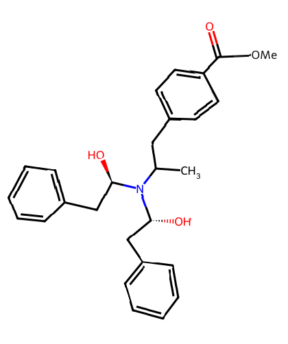 COC(=O)c1ccc(CC(C)N([C@H](O)Cc2ccccc2)[C@H](O)Cc2ccccc2)cc1